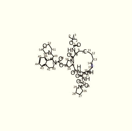 CC(C)(C)OC(=O)N[C@H]1CCCCC/C=C/[C@@H]2C[C@@]2(C(=O)NS(=O)(=O)N2CCCC2)NC(=O)C2C[C@@H](OC(=O)N3CCc4ccccc4[C@H]3CN3CCOCC3)CN2C1=O